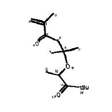 C=C(C)C(=O)CC(C)(C)OC(C)C(=O)C(C)(C)C